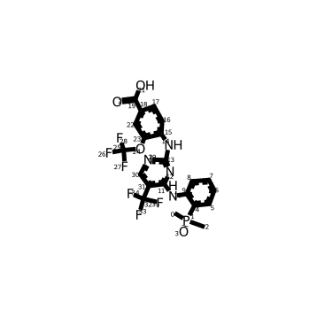 CP(C)(=O)c1ccccc1Nc1nc(Nc2ccc(C(=O)O)cc2OC(F)(F)F)ncc1C(F)(F)F